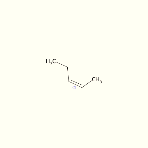 C/C=C\CC